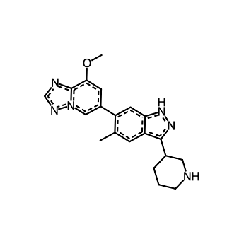 COc1cc(-c2cc3[nH]nc(C4CCCNC4)c3cc2C)cn2ncnc12